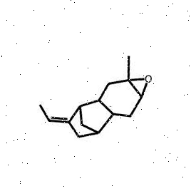 CC=C1CC2CC1C1CC3(C)OC3CC21